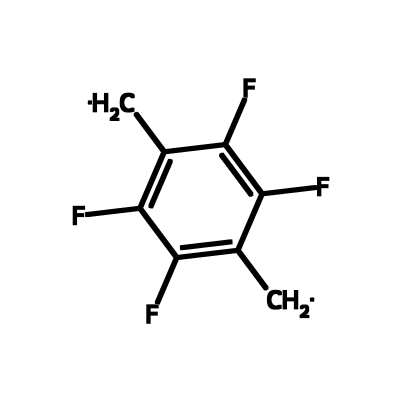 [CH2]c1c(F)c(F)c([CH2])c(F)c1F